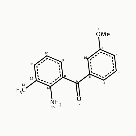 COc1cccc(C(=O)c2cccc(C(F)(F)F)c2N)c1